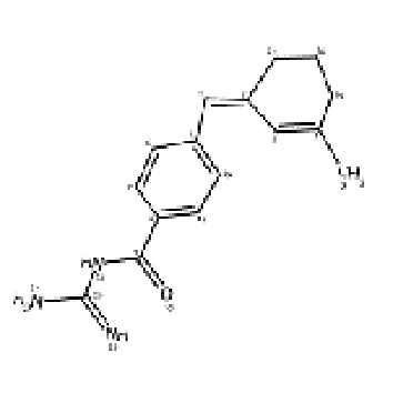 CC1=C/C(=C\c2ccc(C(=O)NC(=N)N)cc2)CCC1